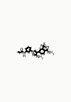 C=CC(=O)Nc1cccc(-n2cc(-c3ccc(C(N)=O)c(C(F)(F)F)c3)c(N)n2)c1